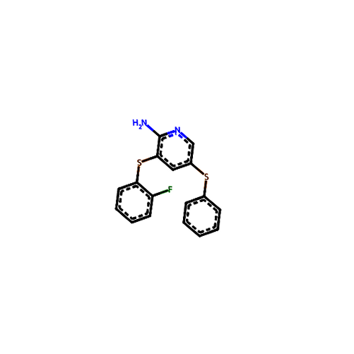 Nc1ncc(Sc2ccccc2)cc1Sc1ccccc1F